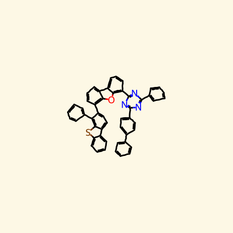 c1ccc(-c2ccc(-c3nc(-c4ccccc4)nc(-c4cccc5c4oc4c(-c6ccc7c(sc8ccccc87)c6-c6ccccc6)cccc45)n3)cc2)cc1